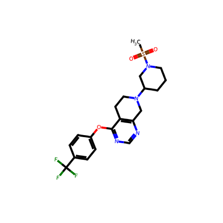 CS(=O)(=O)N1CCCC(N2CCc3c(ncnc3Oc3ccc(C(F)(F)F)cc3)C2)C1